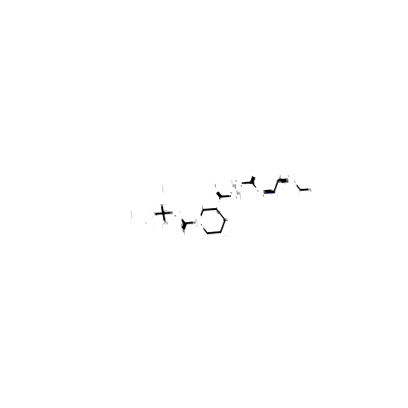 C=C(/N=C\C=N/CCl)NNC(=O)[C@H]1CCCN(C(=O)OC(C)(C)C)C1